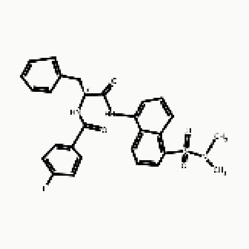 CN(C)S(=O)(=O)c1cccc2c(NC(=O)[C@H](Cc3ccccc3)NC(=O)c3ccc(F)cc3)cccc12